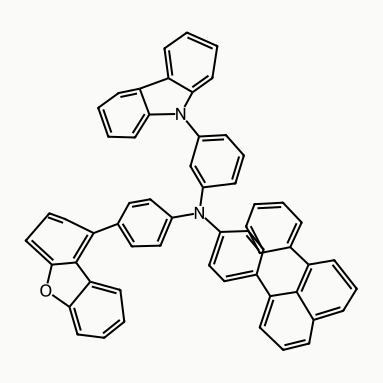 c1ccc(-c2cccc3cccc(-c4ccc(N(c5ccc(-c6cccc7oc8ccccc8c67)cc5)c5cccc(-n6c7ccccc7c7ccccc76)c5)cc4)c23)cc1